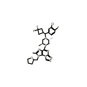 Cc1nc2c(N3C[C@@H](C)N(C(c4ccc(F)c(Cl)c4)C4CC(F)(F)C4)C[C@@H]3C)nc3nncn3c2n1CC1CCCO1